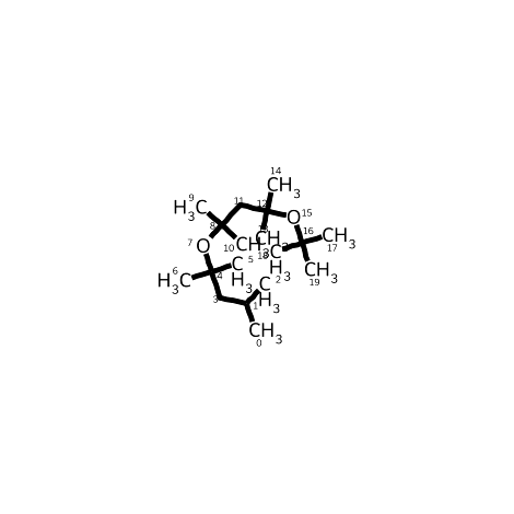 CC(C)CC(C)(C)OC(C)(C)CC(C)(C)OC(C)(C)C